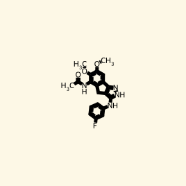 COc1cc2c(c(NC(C)=O)c1OC)Cc1c-2n[nH]c1Nc1cccc(F)c1